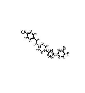 Fc1ccc(-c2nsc(N3CCN(CCc4ccc(Cl)cc4)CC3)n2)cc1F